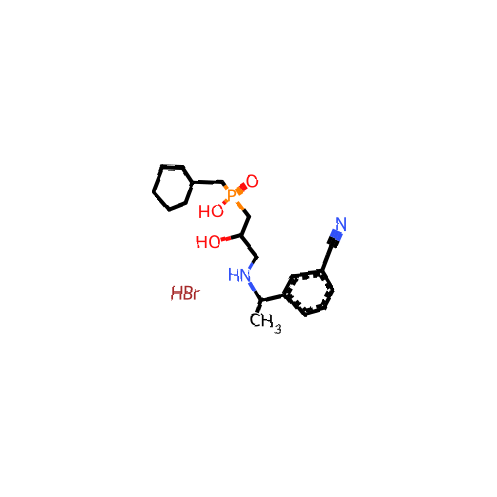 Br.CC(NCC(O)CP(=O)(O)CC1CCCCC1)c1cccc(C#N)c1